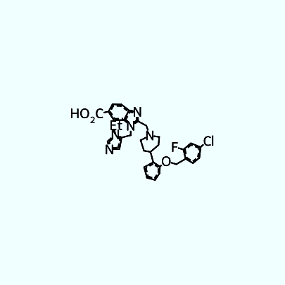 CCn1cncc1Cn1c(CN2CCC(c3ccccc3OCc3ccc(Cl)cc3F)CC2)nc2ccc(C(=O)O)cc21